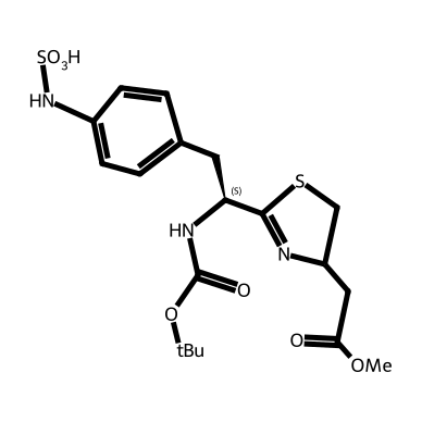 COC(=O)CC1CSC([C@H](Cc2ccc(NS(=O)(=O)O)cc2)NC(=O)OC(C)(C)C)=N1